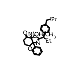 CCC(C1=NC2(c3ccccc3)C(=O)CCC(=O)C2(N(C)O)S1)c1ccc(CC(C)C)cc1